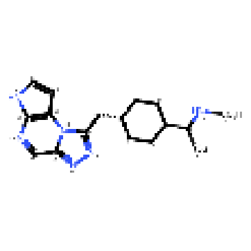 CC(C)(C)C(NC(=O)O)[C@H]1CC[C@H](Cc2nnc3cnc4[nH]ccc4n23)CC1